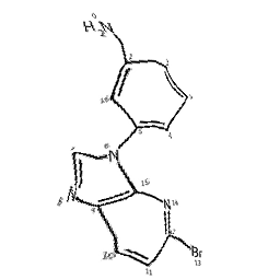 Nc1cccc(-n2cnc3ccc(Br)nc32)c1